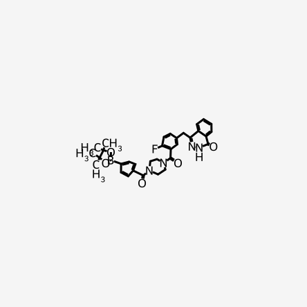 CC1(C)OB(c2ccc(C(=O)N3CCN(C(=O)c4cc(Cc5n[nH]c(=O)c6ccccc56)ccc4F)CC3)cc2)OC1(C)C